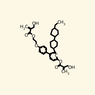 C=C(CO)C(=O)OCCOc1ccc(-c2ccc(OC(=O)C(=C)CO)cc2C2CCC(C3CCC(CC)CC3)CC2)cc1